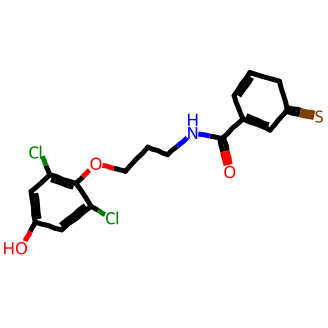 O=C(NCCCOc1c(Cl)cc(O)cc1Cl)C1=CC(=S)CC=C1